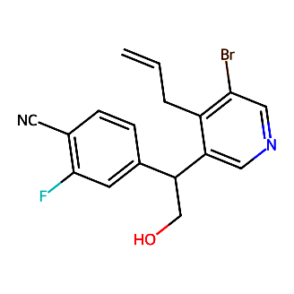 C=CCc1c(Br)cncc1C(CO)c1ccc(C#N)c(F)c1